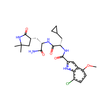 COc1ccc(Cl)c2[nH]c(C(=O)N[C@@H](CC3CC3)C(=O)N[C@@H](C[C@@H]3CC(C)(C)NC3=O)C(N)=O)cc12